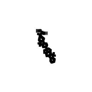 CCC(CC)(c1ccc2c(c1)C(C)(C)c1ccccc1-2)c1ccc2c(c1)C(C)(C)c1cc3c(cc1-2)C3(C)B(O)O